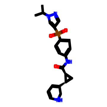 CC(C)n1cc(S(=O)(=O)c2ccc(NC(=O)[C@H]3C[C@@H]3C3=CC=CNC3)cc2)cn1